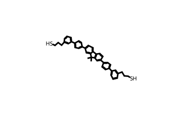 CC1(C)c2cc(-c3ccc(-c4cccc(CCCS)c4)cc3)ccc2-c2ccc(-c3ccc(-c4cccc(CCCS)c4)cc3)cc21